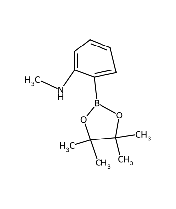 CNc1ccccc1B1OC(C)(C)C(C)(C)O1